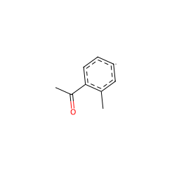 CC(=O)c1cc[c]cc1C